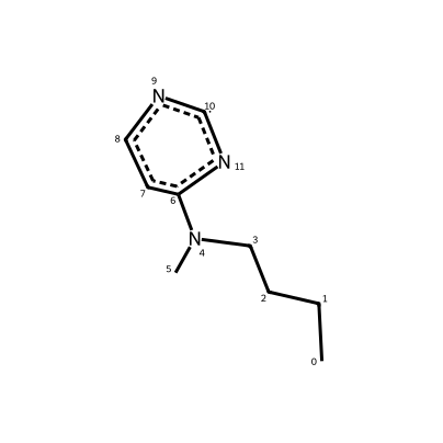 CCCCN(C)c1ccn[c]n1